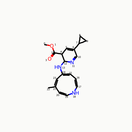 COC(=O)C1C=C(C2CC2)C=NC1Nc1ccc[nH]ccc(C)c1